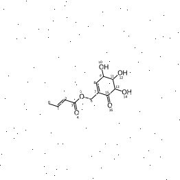 C/C=C/C(=O)OCC1=CC(O)C(O)C(O)C1=O